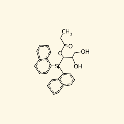 CCC(=O)OC(C(O)CO)[Si](c1cccc2ccccc12)c1cccc2ccccc12